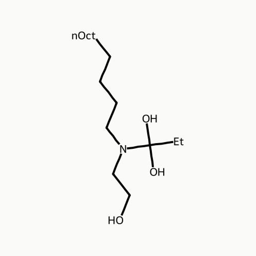 CCCCCCCCCCCCN(CCO)C(O)(O)CC